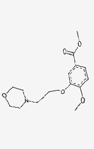 COC(=O)c1ccc(OC)c(OCCN2CCOCC2)c1